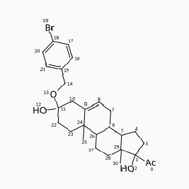 CC(=O)C1(O)CCC2C3CC=C4CC(O)(OCc5ccc(Br)cc5)CCC4(C)C3CCC21C